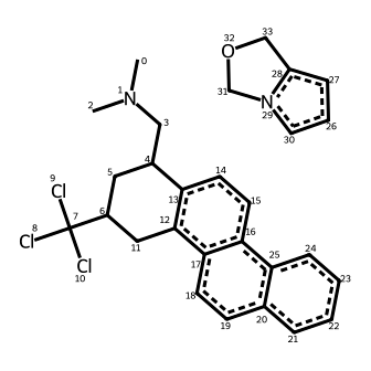 CN(C)CC1CC(C(Cl)(Cl)Cl)Cc2c1ccc1c2ccc2ccccc21.c1cc2n(c1)COC2